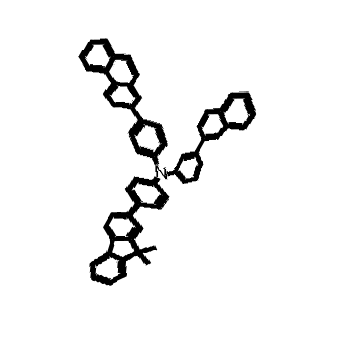 CC1(C)c2ccccc2-c2ccc(-c3ccc(N(c4ccc(-c5ccc6c(ccc7ccccc76)c5)cc4)c4cccc(-c5ccc6ccccc6c5)c4)cc3)cc21